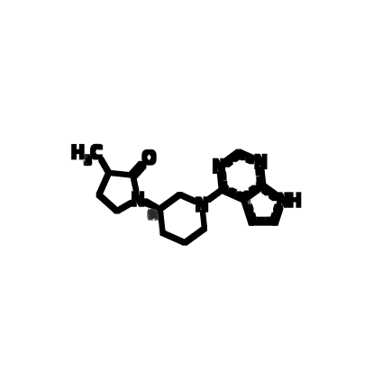 CC1CCN([C@@H]2CCCN(c3ncnc4[nH]ccc34)C2)C1=O